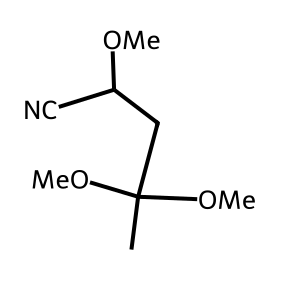 COC(C#N)CC(C)(OC)OC